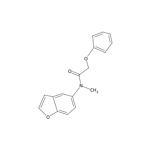 CN(C(=O)COc1ccccc1)c1ccc2occc2c1